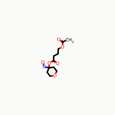 CC(=O)OCCCC(=O)OC1(N=O)CCOCC1